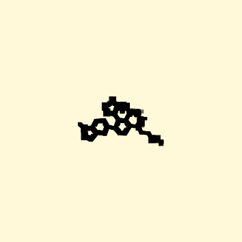 Cn1ncc2cc(-c3ccc([S+]([O-])CCN)c([S+](N)[O-])c3-c3nnn[nH]3)ccc21